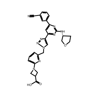 N#Cc1cccc(-c2cc(-c3cn(Cc4cccc(N5CC(C(=O)O)C5)n4)nn3)nc(N[C@@H]3CCOC3)n2)c1